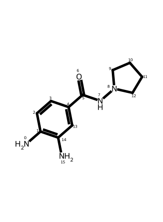 Nc1ccc(C(=O)NN2CCCC2)cc1N